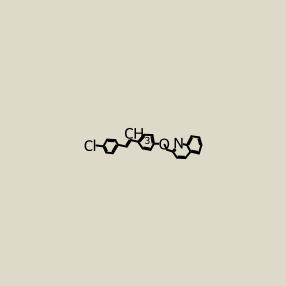 CC(=Cc1ccc(Cl)cc1)c1ccc(OCc2ccc3ccccc3n2)cc1